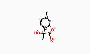 Cc1ccc(C(C)(O)C(=O)O)cc1